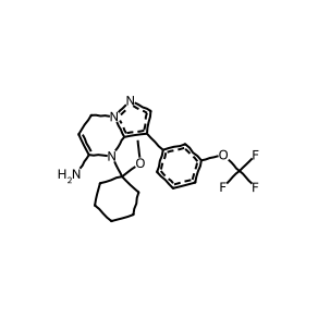 COC1(N2C(N)=CCn3ncc(-c4cccc(OC(F)(F)F)c4)c32)CCCCC1